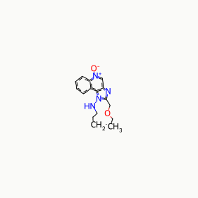 [CH2]CCNn1c(COCC)nc2c[n+]([O-])c3ccccc3c21